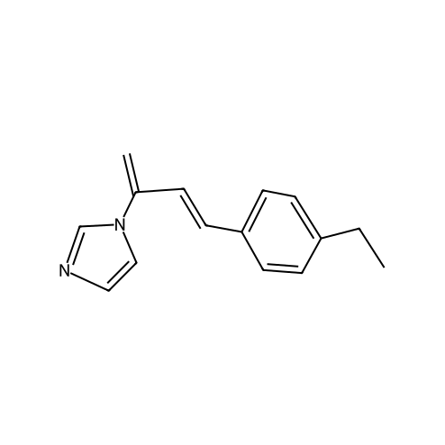 C=C(/C=C/c1ccc(CC)cc1)n1ccnc1